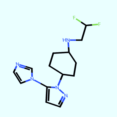 FC(F)CNC1CCC(n2nccc2-n2ccnc2)CC1